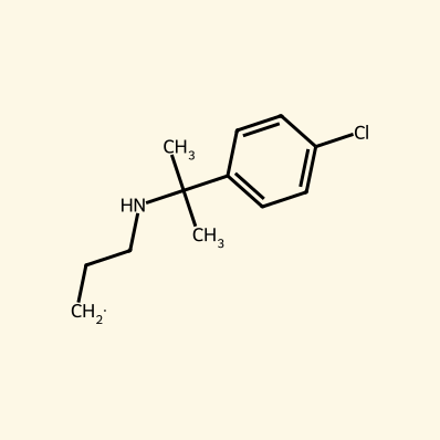 [CH2]CCNC(C)(C)c1ccc(Cl)cc1